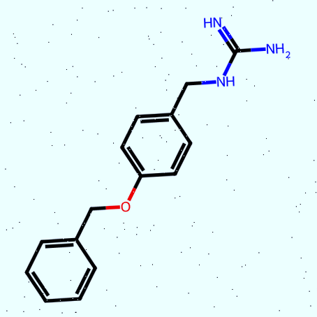 N=C(N)NCc1ccc(OCc2ccccc2)cc1